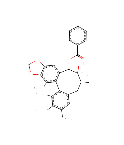 COc1cc2c(c(OC)c1OC)-c1c(cc3c(c1OC)OCO3)[C@H](OC(=O)c1ccccc1)[C@@](C)(O)[C@@H](C)C2